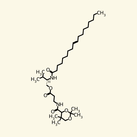 CCCCCCCCC=CCCCCCCCC(=O)N[C@H](COC(=O)CCNC(=O)C1OC(C)(C)OCC1(C)C)C(C)C